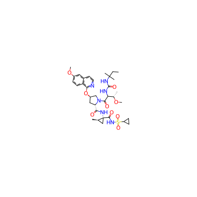 CCC(C)(C)NC(=O)NC(C(=O)N1C[C@H](Oc2nccc3cc(OC)ccc23)C[C@H]1C(=O)N[C@]1(C(=O)NS(=O)(=O)C2CC2)C[C@H]1C)[C@H](C)OC